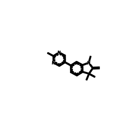 C=C1N(C)c2cc(-c3cnc(C)nc3)ccc2C1(C)C